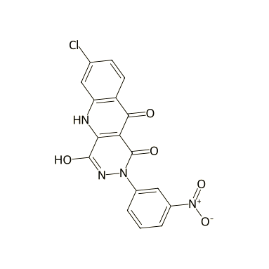 O=c1c2ccc(Cl)cc2[nH]c2c(O)nn(-c3cccc([N+](=O)[O-])c3)c(=O)c12